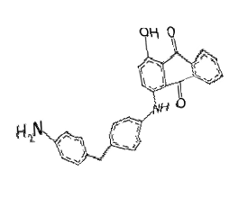 Nc1ccc(Cc2ccc(Nc3ccc(O)c4c3C(=O)c3ccccc3C4=O)cc2)cc1